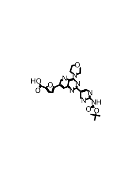 CC(C)(C)OC(=O)Nc1ncc(-c2nc(N3CCOCC3)c3ncc(-c4ccc(C(=O)O)o4)cc3n2)cn1